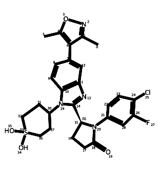 Cc1noc(C)c1-c1ccc2c(c1)nc([C@@H]1CCC(=O)N1c1ccc(Cl)c(F)c1)n2C1CCS(O)(O)CC1